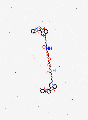 O=C(CCCCCN1C=CC2=C3c4oc5ccccc5[n+]4CCC3Oc3cccc1c32)NCCOCCOCCOCCNC(=O)CCCCCN1C=CC2=C3c4oc5ccccc5[n+]4CCC3Oc3cccc1c32